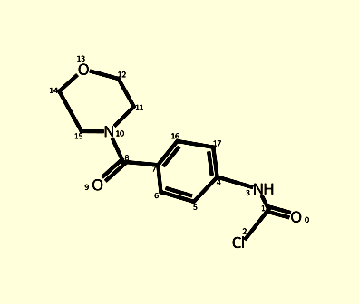 O=C(Cl)Nc1ccc(C(=O)N2CCOCC2)cc1